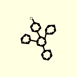 Clc1ccc(-c2c(-c3ccccc3)cc(-c3ccccc3)cc2-c2ccccc2)cc1